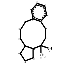 CC1(S)CCc2ccccc2CCCC2CCCC21